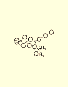 CC1(C)c2ccccc2-c2ccc(N(c3ccc(-c4ccc(-c5ccccc5)cc4)cc3)c3cccc(C4(c5ccccc5)c5ccccc5C5(c6ccccc6)c6ccccc6-c6cccc4c65)c3)cc21